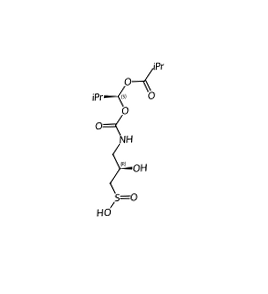 CC(C)C(=O)O[C@@H](OC(=O)NC[C@@H](O)CS(=O)O)C(C)C